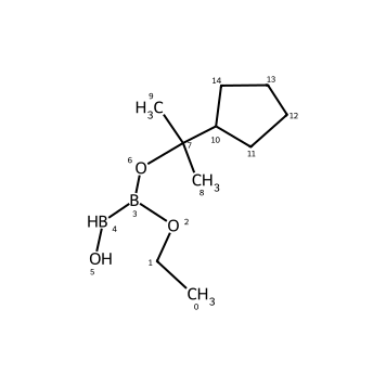 CCOB(BO)OC(C)(C)C1CCCC1